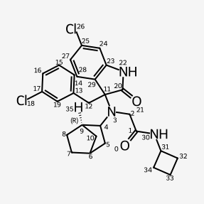 O=C(CN(C1CC2CC[C@@H]1C2)C1(Cc2cccc(Cl)c2)C(=O)Nc2cc(Cl)ccc21)NC1CCC1